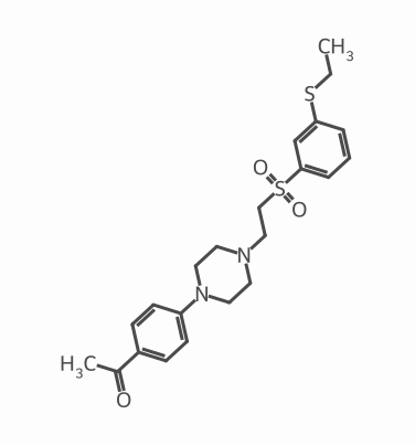 CCSc1cccc(S(=O)(=O)CCN2CCN(c3ccc(C(C)=O)cc3)CC2)c1